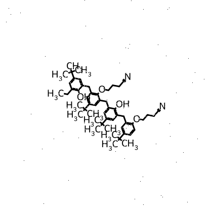 CCc1cc(C(C)(C)C)cc(Cc2cc(C(C)(C)C)cc(Cc3cc(C(C)(C)C)cc(Cc4cc(C(C)(C)C)ccc4OCCCC#N)c3O)c2OCCCC#N)c1O